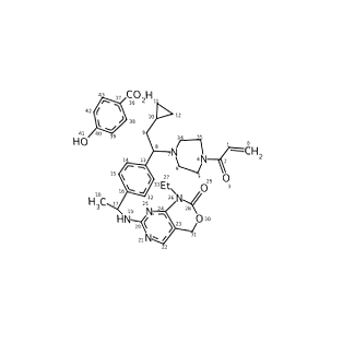 C=CC(=O)N1CCN(C(CC2CC2)c2ccc(C(C)Nc3ncc4c(n3)N(CC)C(=O)OC4)cc2)CC1.O=C(O)c1ccc(O)cc1